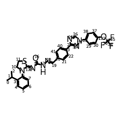 CC(C)c1ccccc1N1CCS/C1=N\C(=O)N/N=C/c1ccc(-c2ncn(-c3ccc(OC(F)(F)F)cc3)n2)cc1